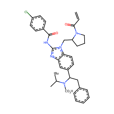 C=CC(=O)N1CCCC1Cn1c(NC(=O)c2ccc(Cl)cc2)nc2cc(C(Cc3ccccc3)N(C(=O)O)C(C)C(C)(C)C)ccc21